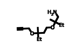 C#CCOC(C)(CC)CCOC(C)(CC)CN